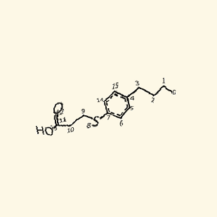 CCCCc1ccc(SCCC(=O)O)cc1